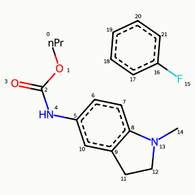 CCCOC(=O)Nc1ccc2c(c1)CCN2C.Fc1ccccc1